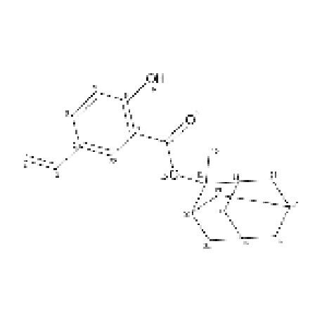 C=Cc1ccc(O)c(C(=O)OC2(C)C3CC4CC(C3)CC2C4)c1